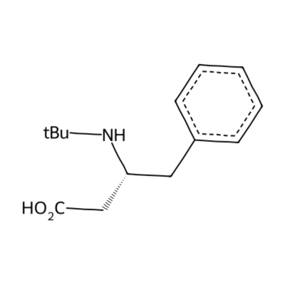 CC(C)(C)N[C@@H](CC(=O)O)Cc1ccccc1